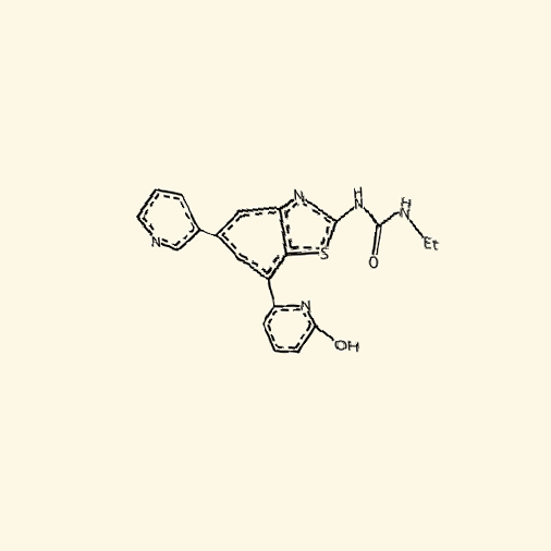 CCNC(=O)Nc1nc2cc(-c3cccnc3)cc(-c3cccc(O)n3)c2s1